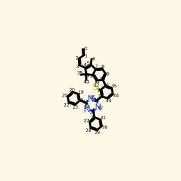 C=C/C=C\C1=C(C)c2ccc3c(sc4c(-c5nc(-c6ccccc6)nc(-c6ccccc6)n5)cccc43)c2C1(C)C